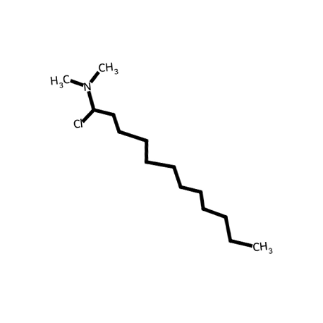 CCCCCCCCCCCC(Cl)N(C)C